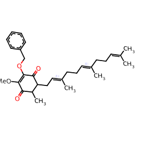 COC1=C(OCc2ccccc2)C(=O)C(C/C=C(\C)CC/C=C(\C)CCC=C(C)C)C(C)C1=O